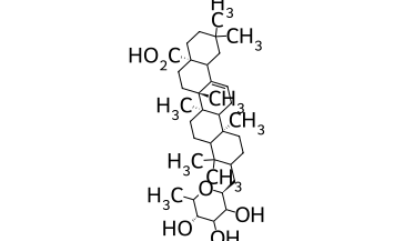 CC1O[C@@H](CC2CC[C@@]3(C)C(CC[C@]4(C)C3CC=C3C5CC(C)(C)CC[C@]5(C(=O)O)CC[C@]34C)C2(C)C)C(O)C(O)[C@@H]1O